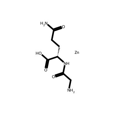 NCC(=O)N[C@@H](CCC(N)=O)C(=O)O.[Zn]